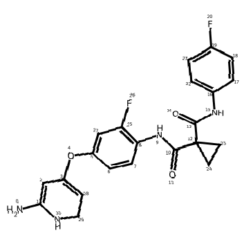 NC1=CC(Oc2ccc(NC(=O)C3(C(=O)Nc4ccc(F)cc4)CC3)c(F)c2)=CCN1